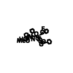 COC[C@]1(O)CCCC[C@H]1n1cnc(C(=O)N2CCN(C(=O)OCc3ccccc3)C[C@H]2CCOc2ccccc2F)c1-c1ccccc1